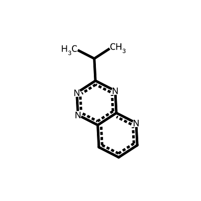 CC(C)c1nnc2cccnc2n1